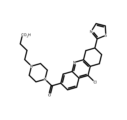 O=C(O)CCCN1CCN(C(=O)c2ccc3c(Cl)c4c(nc3c2)CC(c2nccs2)CC4)CC1